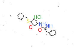 CN[C@@H](Cc1ccccc1)C(=O)Nc1ccc(SCc2ccccc2)c(OC)c1.Cl